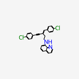 Clc1ccc(C#C/C(=C/c2ccc(Cl)cc2)CCNc2cccc3cccnc23)cc1